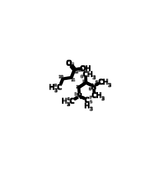 CC(CN(C)C)N(C)C.CCCC(=O)O